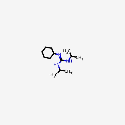 CC(C)NC(=NC1CCCCC1)NC(C)C